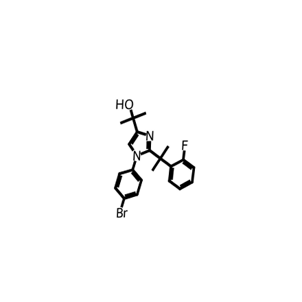 CC(C)(O)c1cn(-c2ccc(Br)cc2)c(C(C)(C)c2ccccc2F)n1